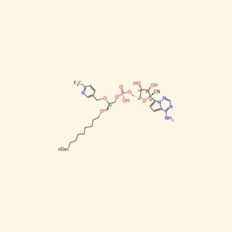 CCCCCCCCCCCCCCCCCCOC[C@H](COP(=O)(O)OC[C@H]1O[C@@](C#N)(c2ccc3c(N)ncnn23)[C@H](O)[C@@H]1O)OCc1ccc(C(F)(F)F)nc1